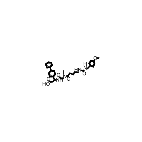 COc1ccc(CNC(=O)NCCCCC(=O)NCC(=O)NC(CC(=O)O)c2ccc(-c3ccccc3)cc2)cc1